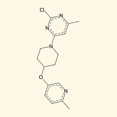 Cc1ccc(OC2CCN(c3cc(C)nc(Cl)n3)CC2)cn1